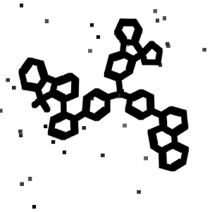 CC1(C)c2ccccc2-c2cccc(-c3ccccc3-c3ccc(N(c4ccc(-c5cccc6c5ccc5ccccc56)cc4)c4ccc5c(c4)C4(CCCC4)c4ccccc4-5)cc3)c21